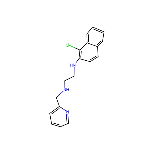 Clc1c(NCCNCc2ccccn2)ccc2ccccc12